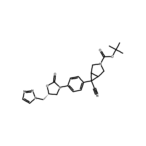 CC(C)(C)OC(=O)N1CC2C(C1)C2(C#N)c1ccc(N2C[C@H](Cn3ccnn3)OC2=O)cc1